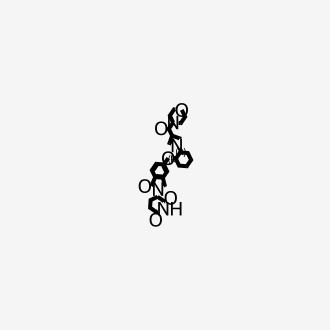 O=C1CCC(N2Cc3cc(O[C@@H]4CCCC[C@H]4N4CC(C(=O)N5CCOCC5)C4)ccc3C2=O)C(=O)N1